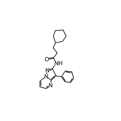 O=C(CCC1CCCCC1)Nc1nn2cccnc2c1-c1ccccc1